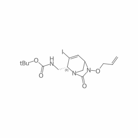 C=CCON1C(=O)N2CC1C=C(I)[C@H]2CNC(=O)OC(C)(C)C